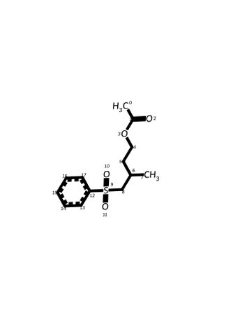 CC(=O)OCCC(C)CS(=O)(=O)c1ccccc1